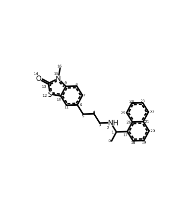 CC(NCCCc1ccc2c(c1)sc(=O)n2C)c1cccc2ccccc12